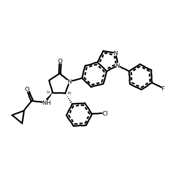 O=C(N[C@H]1CC(=O)N(c2ccc3c(cnn3-c3ccc(F)cc3)c2)[C@@H]1c1cccc(Cl)c1)C1CC1